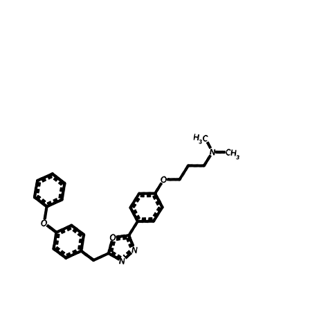 CN(C)CCCOc1ccc(-c2nnc(Cc3ccc(Oc4ccccc4)cc3)o2)cc1